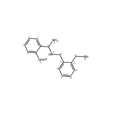 CCCCCc1ccccc1C(N)NCc1ccccc1CC(C)(C)C